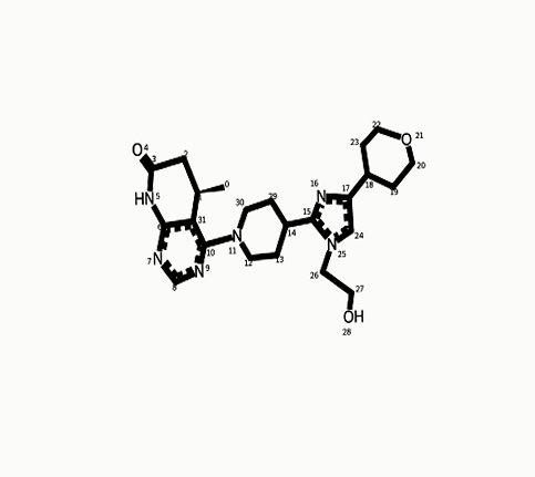 C[C@@H]1CC(=O)Nc2ncnc(N3CCC(c4nc(C5CCOCC5)cn4CCO)CC3)c21